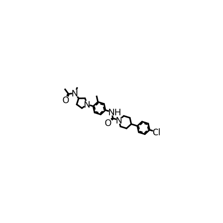 CC(=O)N(C)C1CCN(c2ccc(NC(=O)N3CCC(c4ccc(Cl)cc4)CC3)cc2C)C1